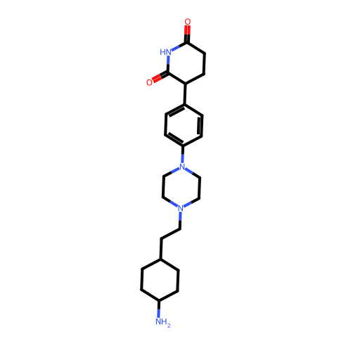 NC1CCC(CCN2CCN(c3ccc(C4CCC(=O)NC4=O)cc3)CC2)CC1